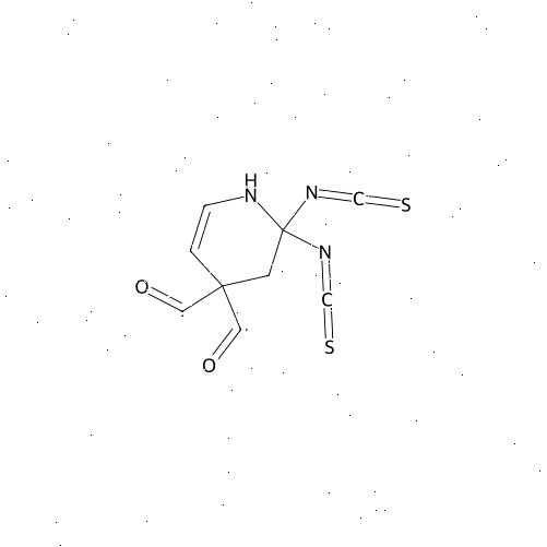 O=[C]C1([C]=O)C=CNC(N=C=S)(N=C=S)C1